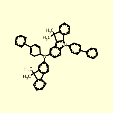 CC1(C)c2ccccc2-c2ccc(N(c3ccc4c(c3)c3c(n4-c4ccc(-c5ccccc5)cc4)-c4ccccc4C3(C)C)C3C=CC(c4ccccc4)=CC3)cc21